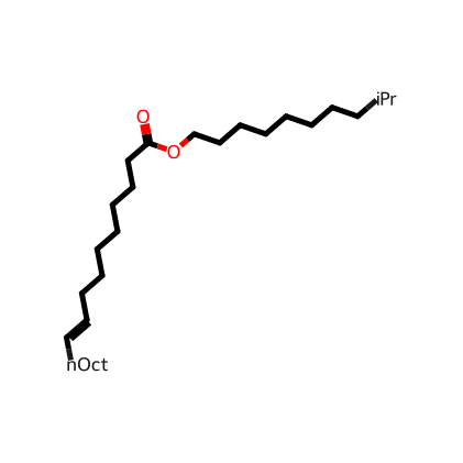 CCCCCCCCC=CCCCCCCCC(=O)OCCCCCCCCC(C)C